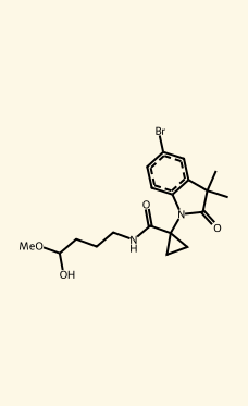 COC(O)CCCNC(=O)C1(N2C(=O)C(C)(C)c3cc(Br)ccc32)CC1